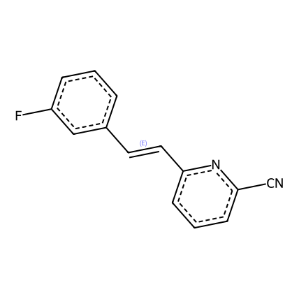 N#Cc1cccc(/C=C/c2cccc(F)c2)n1